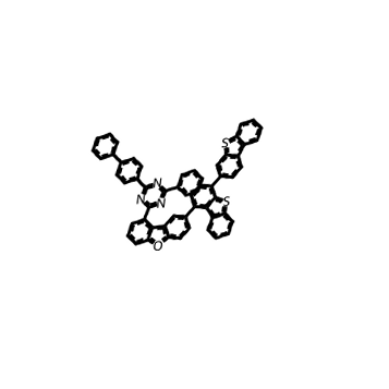 c1ccc(-c2ccc(-c3nc(-c4ccccc4)nc(-c4cccc5oc6ccc(-c7ccc(-c8ccc9c(c8)sc8ccccc89)c8sc9ccccc9c78)cc6c45)n3)cc2)cc1